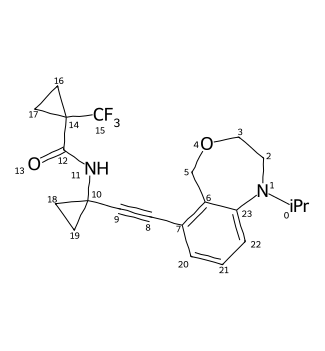 CC(C)N1CCOCc2c(C#CC3(NC(=O)C4(C(F)(F)F)CC4)CC3)cccc21